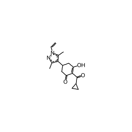 C=Cn1nc(C)c(C2CC(=O)C(C(=O)C3CC3)=C(O)C2)c1C